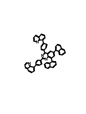 c1ccc2c(-c3cc(-c4cccc5ccccc45)c4nc(-c5ccc(-c6cccc7cccnc67)cc5)nc(-c5ccc(-c6cccc7cccnc67)cc5)c4c3)cccc2c1